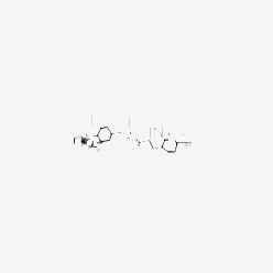 CCNc1nc(C(F)(F)F)ccc1C=CC(=O)NCCc1cc(F)c(NS(C)(=O)=O)c(F)c1